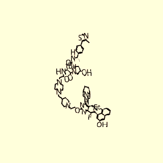 CCc1cccc2cc(O)cc(-c3ncc4c(N5CC6CCC(C5)N6)nc(OCCN5CCC(CN6CCN(CC(=O)N[C@H](C(=O)N7C[C@H](O)C[C@H]7C(=O)N[C@@H](C)c7ccc(-c8scnc8C)cc7)C(C)(C)C)CC6)CC5)nc4c3F)c12